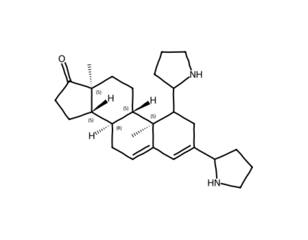 C[C@]12CC[C@H]3[C@@H](CC=C4C=C(C5CCCN5)CC(C5CCCN5)[C@@]43C)[C@@H]1CCC2=O